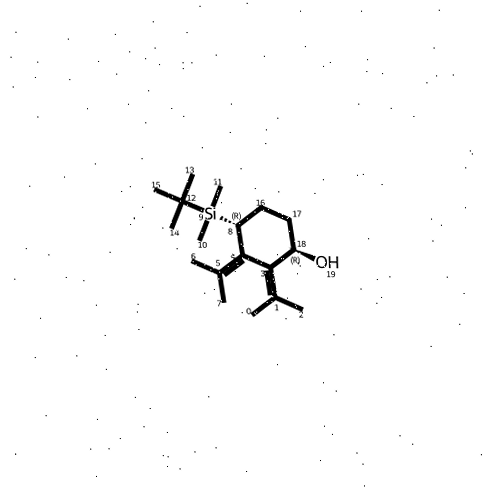 CC(C)=C1C(=C(C)C)[C@H]([Si](C)(C)C(C)(C)C)CC[C@H]1O